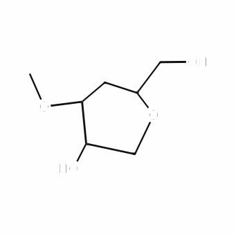 COC1CC(CO)OCC1O